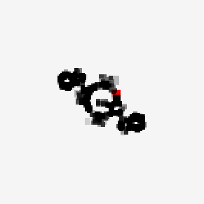 O=P1(S)OC[C@H]2O[C@@H](n3cnc4ccccc43)C(OP(=O)(S)OC[C@H]3O[C@@H](n4cnc5ccccc54)C(O1)C3O)C2O